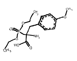 CCOP(=O)(OCC)C(N)(Cc1ccc(OC)cc1)C(=O)O